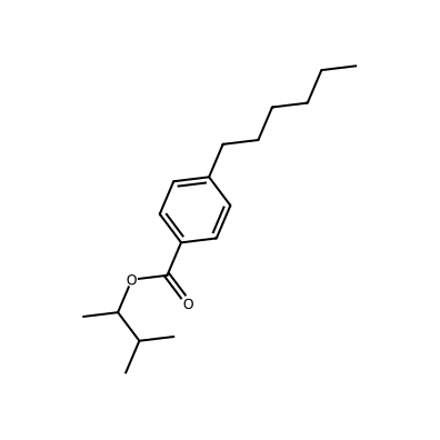 CCCCCCc1ccc(C(=O)OC(C)C(C)C)cc1